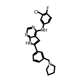 Fc1ccc(Nc2ncnc3[nH]c(-c4cccc(CN5CCCC5)c4)cc23)cc1Cl